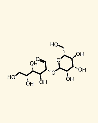 O=C[C@H](OC1O[C@H](CO)[C@@H](O)[C@H](O)[C@H]1O)[C@@H](O)[C@@H](O)[C@H](O)CO